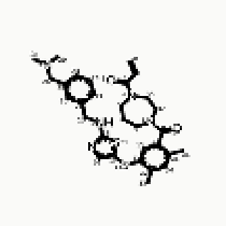 C=CC(=O)N1CCCN(C(=O)c2cc(Sc3cnc(NCc4cccc(CN(C)C)c4)s3)c(C)cc2C)CC1